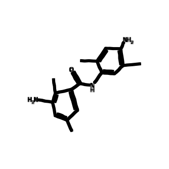 Cc1cc(N)c(C)c(C(=O)Nc2cc(C)c(N)cc2C)c1